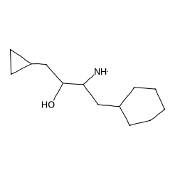 [NH]C(CC1CCCCC1)C(O)CC1CC1